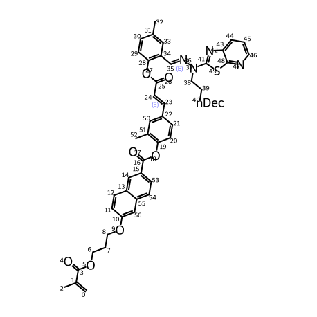 C=C(C)C(=O)OCCCOc1ccc2cc(C(=O)Oc3ccc(/C=C/C(=O)Oc4ccc(C)cc4/C=N/N(CCCCCCCCCCCC)c4nc5cccnc5s4)cc3C)ccc2c1